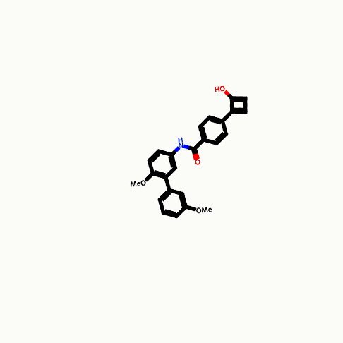 COc1cccc(-c2cc(NC(=O)c3ccc(C4=CC=C4O)cc3)ccc2OC)c1